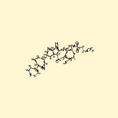 O=C(c1c(F)ccc(NS(=O)(=O)CCC(F)(F)F)c1F)c1c[nH]c2ncc(-c3ccc(N4CCSCC4)nc3)cc12